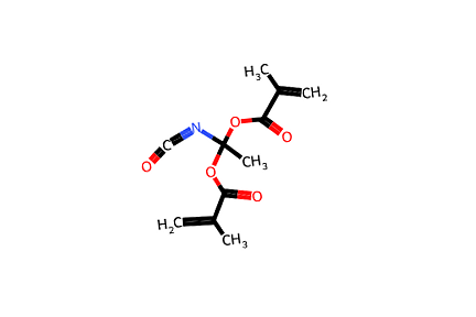 C=C(C)C(=O)OC(C)(N=C=O)OC(=O)C(=C)C